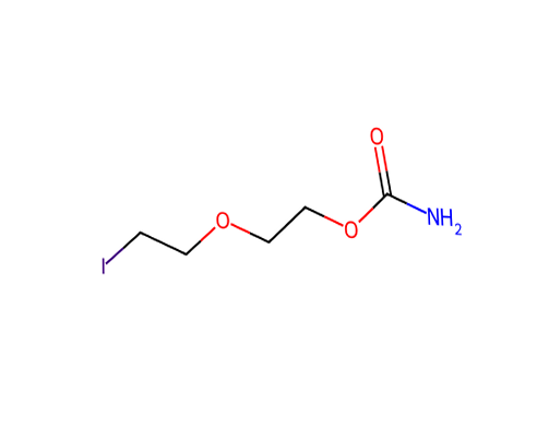 NC(=O)OCCOCCI